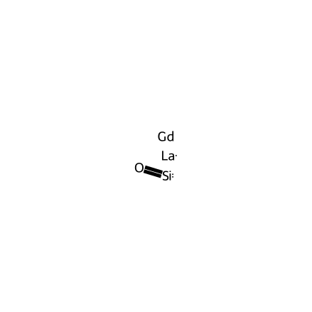 O=[Si].[Gd].[La]